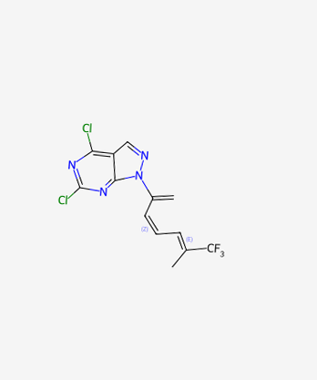 C=C(/C=C\C=C(/C)C(F)(F)F)n1ncc2c(Cl)nc(Cl)nc21